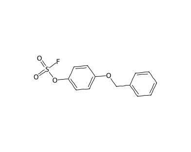 O=S(=O)(F)Oc1ccc(OCc2ccccc2)cc1